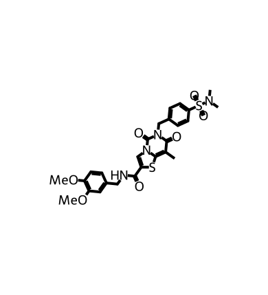 COc1ccc(CNC(=O)c2cn3c(=O)n(Cc4ccc(S(=O)(=O)N(C)C)cc4)c(=O)c(C)c3s2)cc1OC